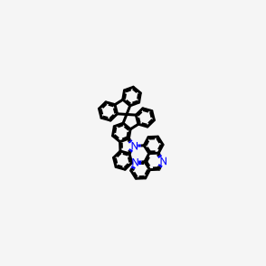 c1ccc2c(c1)-c1ccccc1C21c2ccccc2-c2c1ccc1c3ccccc3n(-c3cccc4ncc5cccnc5c34)c21